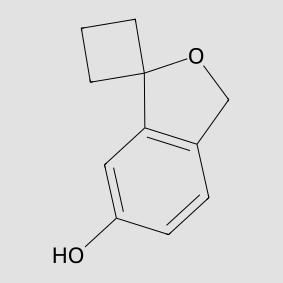 Oc1ccc2c(c1)C1(CCC1)OC2